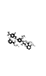 COC(=O)c1cccc(Oc2cc(CNc3ccc(NC(=O)COC4CCCC(C)C4C(C)C)c(OC)c3)c(F)cc2[N+](=O)[O-])n1